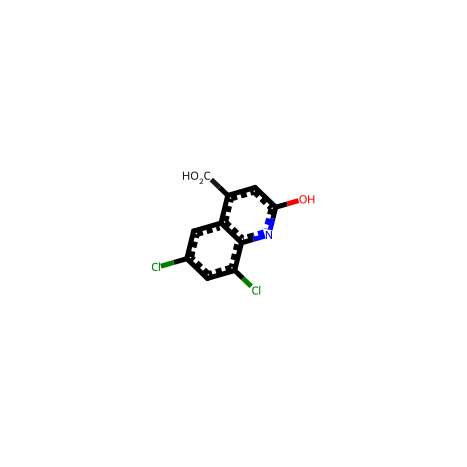 O=C(O)c1cc(O)nc2c(Cl)cc(Cl)cc12